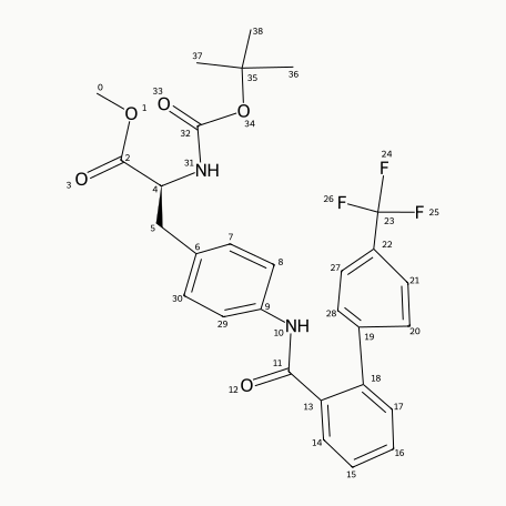 COC(=O)[C@H](Cc1ccc(NC(=O)c2ccccc2-c2ccc(C(F)(F)F)cc2)cc1)NC(=O)OC(C)(C)C